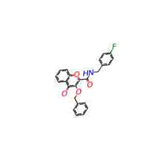 O=C(NCc1ccc(F)cc1)c1oc2ccccc2c(=O)c1OCc1ccccc1